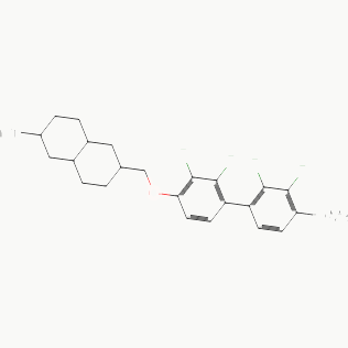 CCCC1CCC2CC(COc3ccc(-c4ccc(OC)c(F)c4F)c(F)c3F)CCC2C1